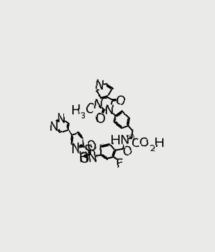 Cn1c(=O)n(-c2ccc(C[C@H](NC(=O)c3ccc(NS(=O)(=O)c4ccc(-c5cncnc5)cn4)cc3F)C(=O)O)cc2)c(=O)c2ccncc21